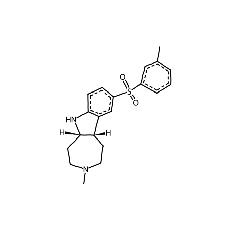 Cc1cccc(S(=O)(=O)c2ccc3c(c2)[C@@H]2CCN(C)CC[C@@H]2N3)c1